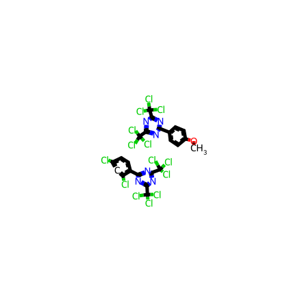 COc1ccc(-c2nc(C(Cl)(Cl)Cl)nc(C(Cl)(Cl)Cl)n2)cc1.Clc1ccc(-c2nc(C(Cl)(Cl)Cl)nc(C(Cl)(Cl)Cl)n2)c(Cl)c1